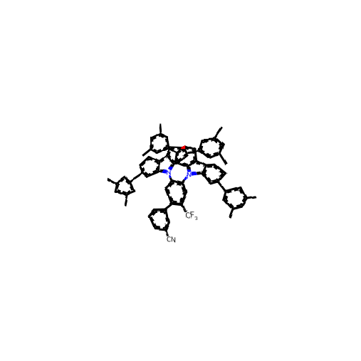 Cc1cc(C)cc(-c2ccc3c4ccc(-c5cc(C)cc(C)c5)cc4n(-c4cc(-c5cccc(C#N)c5)c(C(F)(F)F)cc4-n4c5cc(-c6cc(C)cc(C)c6)ccc5c5ccc(-c6cc(C)cc(C)c6)cc54)c3c2)c1